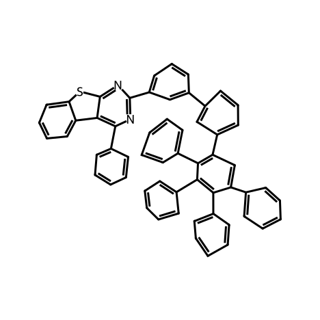 c1ccc(-c2cc(-c3cccc(-c4cccc(-c5nc(-c6ccccc6)c6c(n5)sc5ccccc56)c4)c3)c(-c3ccccc3)c(-c3ccccc3)c2-c2ccccc2)cc1